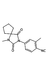 [C-]#[N+]c1ccc(N2C(=O)N(C)C3(CCCC3)C2=O)cc1C